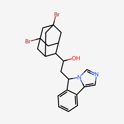 OC(CC1c2ccccc2-c2cncn21)C1C2CC3(Br)CC1CC(Br)(C2)C3